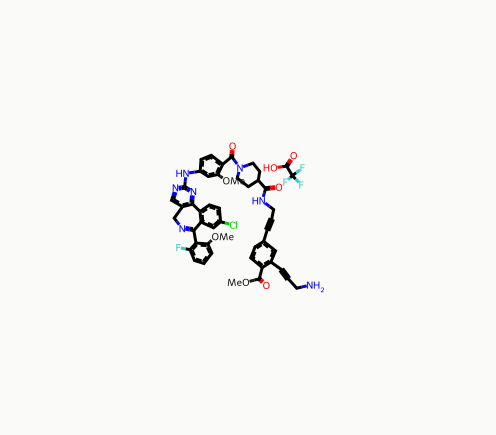 COC(=O)c1ccc(C#CCNC(=O)C2CCN(C(=O)c3ccc(Nc4ncc5c(n4)-c4ccc(Cl)cc4C(c4c(F)cccc4OC)=NC5)cc3OC)CC2)cc1C#CCN.O=C(O)C(F)(F)F